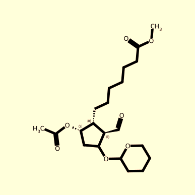 COC(=O)CCCCCC[C@H]1[C@@H](OC(C)=O)CC(OC2CCCCO2)[C@@H]1C=O